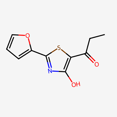 CCC(=O)c1sc(-c2ccco2)nc1O